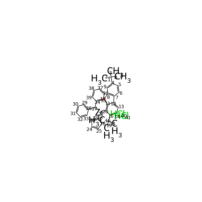 CC(C)(C)c1ccc2c(c1)Cc1c-2ccc(C(C)(C)C)[c]1[Zr]([C]1=CC=CC1)=[C](c1ccccc1)c1ccccc1.Cl.Cl